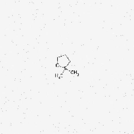 CS1(C)CCCO1